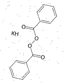 O=C(OOC(=O)c1ccccc1)c1ccccc1.[KH]